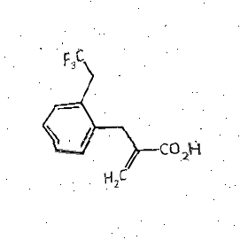 C=C(Cc1ccccc1CC(F)(F)F)C(=O)O